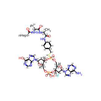 CCCCCCCC(=O)N[C@H](C(=O)N[C@@H](C)C(=O)Nc1ccc(CSP2(=O)OC[C@H]3O[C@@H](n4cnc5c(N)ncnc54)[C@H](F)[C@@H]3OP(=O)(O)OC[C@H]3O[C@@H](n4cnc5c(O)ncnc54)C[C@@H]3O2)cc1)C(C)C